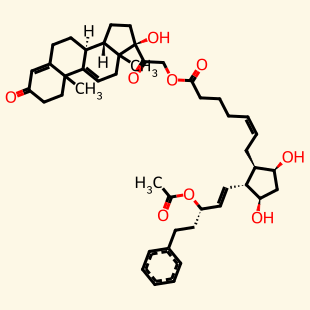 CC(=O)O[C@H](/C=C/[C@@H]1[C@@H](C/C=C\CCCC(=O)OCC(=O)[C@@]2(O)CC[C@H]3[C@@H]4CCC5=CC(=O)CCC5(C)C4=CCC32C)[C@@H](O)C[C@H]1O)CCc1ccccc1